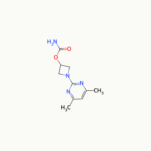 Cc1cc(C)nc(N2CC(OC(N)=O)C2)n1